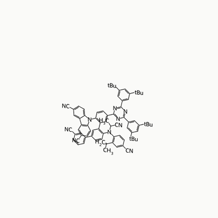 C=C(C)c1cc(C#N)ccc1N(c1ccc(-c2cccc(C#N)c2)cc1-c1cc(-c2nc(-c3cc(C(C)(C)C)cc(C(C)(C)C)c3)nc(-c3cc(C(C)(C)C)cc(C(C)(C)C)c3)n2)ccc1-n1c2ccc(C#N)cc2c2cc(C#N)ccc21)C(C)C#N